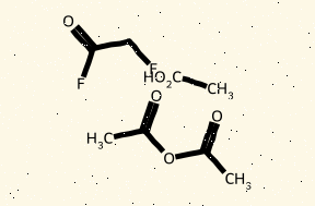 CC(=O)O.CC(=O)OC(C)=O.O=C(F)CF